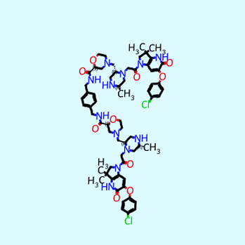 C[C@@H]1CN(CC(=O)N2CC(C)(C)c3[nH]c(=O)c(Oc4ccc(Cl)cc4)cc32)[C@@H](CN2CCO[C@H](C(=O)NCc3ccc(CNC(=O)[C@@H]4CN(C[C@H]5CN[C@H](C)CN5CC(=O)N5CC(C)(C)c6[nH]c(=O)c(Oc7ccc(Cl)cc7)cc65)CCO4)cc3)C2)CN1